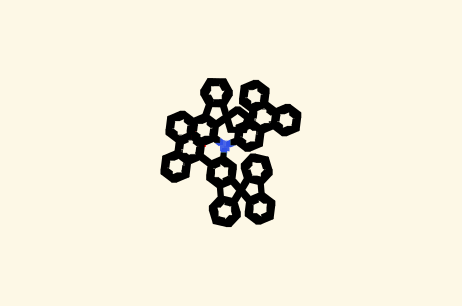 c1ccc2c(c1)-c1cccc(N(c3ccc4c5ccccc5c5ccccc5c4c3)c3cc4c(cc3-c3cc5ccccc5c5ccccc35)-c3ccccc3C43c4ccccc4-c4ccccc43)c1C21CCCC1